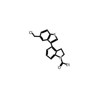 CCC(=O)N1CCc2c(-c3csc4ccc(CCl)cc34)cccc21